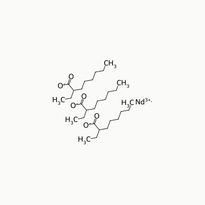 CCCCCCC(CC)C(=O)[O-].CCCCCCC(CC)C(=O)[O-].CCCCCCC(CC)C(=O)[O-].[Nd+3]